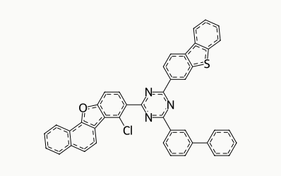 Clc1c(-c2nc(-c3cccc(-c4ccccc4)c3)nc(-c3ccc4c(c3)sc3ccccc34)n2)ccc2oc3c4ccccc4ccc3c12